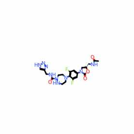 CC(=O)NC[C@H]1CN(c2cc(F)c(N3CCNN(C(=O)NCc4c[nH]nn4)CC3)c(F)c2)C(=O)O1